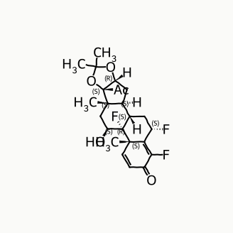 CC(=O)[C@@]12OC(C)(C)O[C@@H]1C[C@H]1[C@@H]3C[C@H](F)C4=C(F)C(=O)C=C[C@]4(C)[C@@]3(F)[C@@H](O)C[C@@]12C